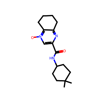 CC1(C)CCC(NC(=O)c2c[n+]([O-])c3c(n2)CCCC3)CC1